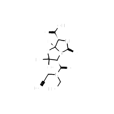 C#CCN(CC)C(=O)[C@@H]1N2C(=O)N[C@H](C(=O)O)[C@H]2SC1(C)C